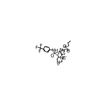 CCCS(=O)(=O)c1nnc([N+]2([O-])CN(C)CC2OC(=O)Nc2ccc(C(F)(F)F)cc2)s1